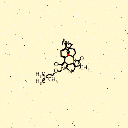 Cn1c(=O)n(C2CCC3(CC2)CNC3)c2c3c(-c4ccc(C#N)cc4)c(Cl)n(COCC[Si](C)(C)C)c3ncc21